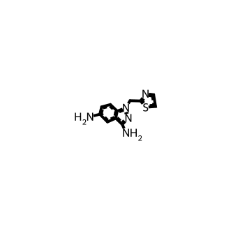 Nc1ccc2c(c1)c(N)nn2Cc1nccs1